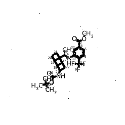 COC(=O)c1ccc(C(F)(F)F)c(N[C@@H](C)C23C4C5C2C2C3C4C52NC(=O)OC(C)(C)C)c1